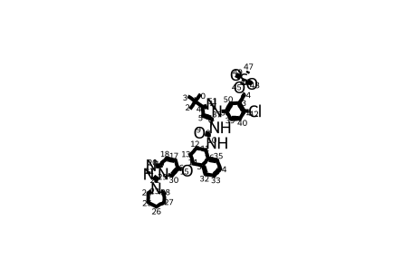 CC(C)(C)c1cc(NC(=O)N[C@H]2CC[C@@H](Oc3ccc4nnc(N5CCCCC5)n4c3)c3ccccc32)n(-c2ccc(Cl)c(COS(C)(=O)=O)c2)n1